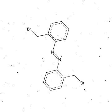 BrCc1ccccc1/N=N/c1ccccc1CBr